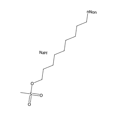 CCCCCCCCCCCCCCCCCCOS(C)(=O)=O.[NaH]